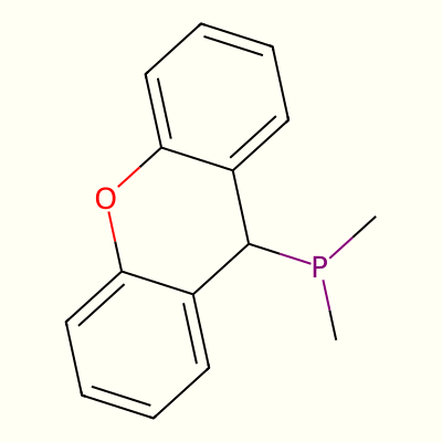 CP(C)C1c2ccccc2Oc2ccccc21